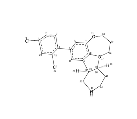 Clc1ccc(-c2cc3c4c(c2)[C@@H]2CNCC[C@@H]2N4CCCO3)c(Cl)c1